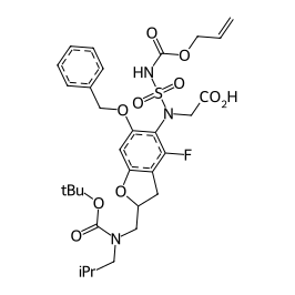 C=CCOC(=O)NS(=O)(=O)N(CC(=O)O)c1c(OCc2ccccc2)cc2c(c1F)CC(CN(CC(C)C)C(=O)OC(C)(C)C)O2